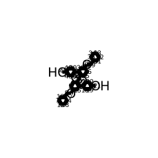 O=S(=O)(c1ccc(OCc2ccccc2)cc1-c1ccc(O)cc1)c1ccc(OCc2ccccc2)cc1-c1ccc(O)cc1